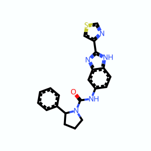 O=C(Nc1ccc2[nH]c(-c3cscn3)nc2c1)N1CCCC1c1ccccc1